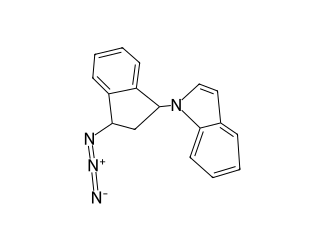 [N-]=[N+]=NC1CC(n2ccc3ccccc32)c2ccccc21